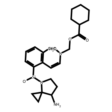 CN(/C=C\c1c(C=O)cccc1[S+]([O-])N1CCC(N)C12CC2)COC(=O)C1CCCCC1